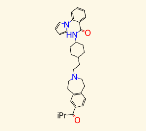 CC(C)C(=O)c1ccc2c(c1)CCN(CCC1CCC(NC(=O)c3ccccc3-n3cccc3)CC1)CC2